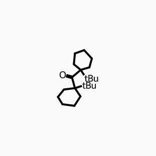 CC(C)(C)C1(C(=O)C2(C(C)(C)C)CCCCC2)CCCCC1